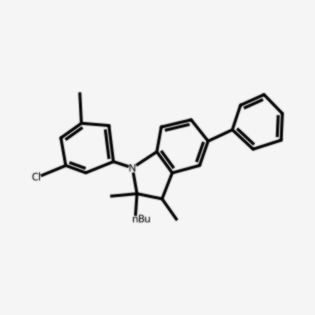 CCCCC1(C)C(C)c2cc(-c3ccccc3)ccc2N1c1cc(C)cc(Cl)c1